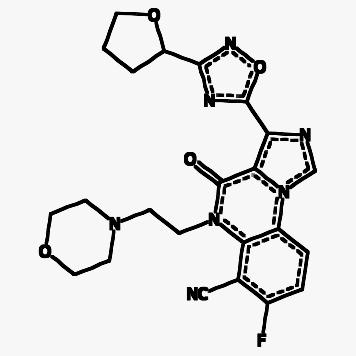 N#Cc1c(F)ccc2c1n(CCN1CCOCC1)c(=O)c1c(-c3nc(C4CCCO4)no3)ncn12